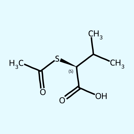 CC(=O)S[C@H](C(=O)O)C(C)C